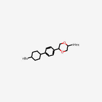 CCCCCCC1COC(c2ccc(C3CCC(CCCC)CC3)cc2)CO1